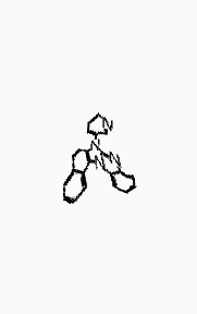 c1cncc(-n2c3ccc4ccccc4c3n3c4ccccc4nc23)c1